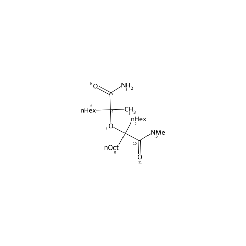 CCCCCCCCC(CCCCCC)(OC(C)(CCCCCC)C(N)=O)C(=O)NC